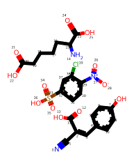 N#CC(=Cc1ccc(O)cc1)C(=O)O.NC(CCCCC(=O)O)C(=O)O.O=[N+]([O-])c1ccc(S(=O)(=O)O)cc1Cl